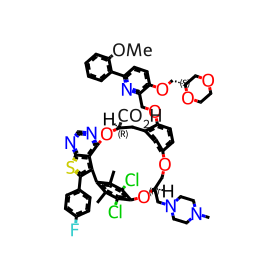 COc1ccccc1-c1ccc(OC[C@@H]2COCCO2)c(COc2ccc3cc2C[C@H](C(=O)O)Oc2ncnc4sc(-c5ccc(F)cc5)c(c24)-c2c(C)c(Cl)c(c(Cl)c2C)O[C@H](CN2CCN(C)CC2)CO3)n1